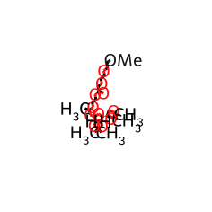 COCCOCCOCC(=O)OCCOC(C)OC1O[C@H](C2COC(C)(C)O2)[C@@H]2OC(C)(C)O[C@H]12